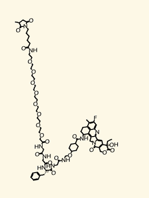 CC[C@@]1(O)C(=O)OCc2c1cc1n(c2=O)Cc2c-1nc1cc(F)c(C)c3c1c2[C@@H](NC(=O)C1CCC(OCNC(=O)CNC(=O)[C@H](Cc2ccccc2)NC(=O)CNC(=O)CNC(=O)COCCOCCOCCOCCOCCOCCOCCOCCNC(=O)CCCCCN2C(=O)CC(C)C2=O)CC1)CC3